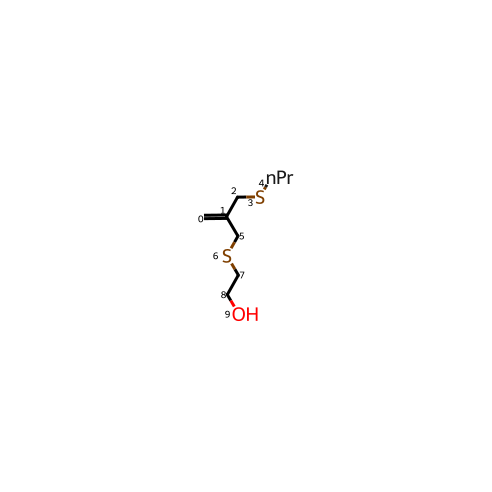 C=C(CSCCC)CSCCO